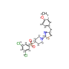 COc1ccc(Cc2csc(N3CCC(S(=O)(=O)c4cc(Cl)cc(Cl)c4)CC3)n2)cc1